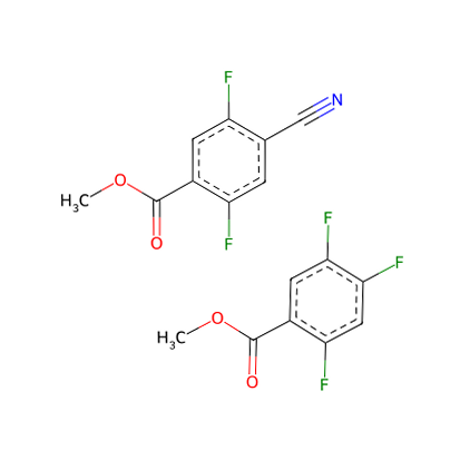 COC(=O)c1cc(F)c(C#N)cc1F.COC(=O)c1cc(F)c(F)cc1F